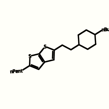 CCCCCc1cc2cc(CCC3CCC(CCCC)CC3)sc2s1